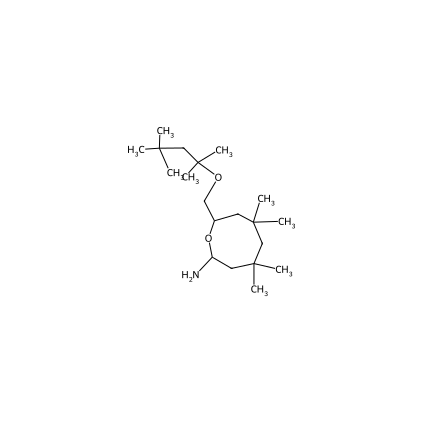 CC(C)(C)CC(C)(C)OCC1CC(C)(C)CC(C)(C)CC(N)O1